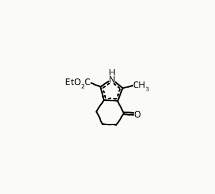 CCOC(=O)c1[nH]c(C)c2c1CCCC2=O